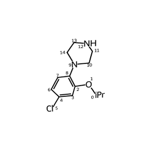 CC(C)Oc1cc(Cl)ccc1N1CCNCC1